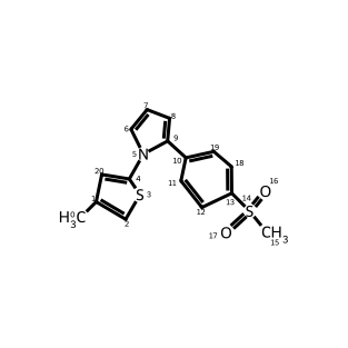 Cc1csc(-n2cccc2-c2ccc(S(C)(=O)=O)cc2)c1